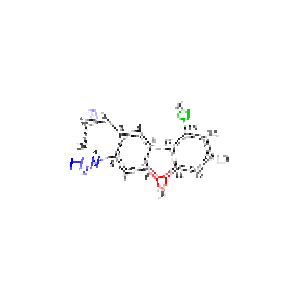 C/C=C\c1cc2c(cc1N)oc1cccc(Cl)c12